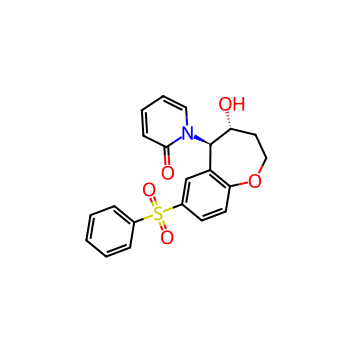 O=c1ccccn1[C@@H]1c2cc(S(=O)(=O)c3ccccc3)ccc2OCC[C@H]1O